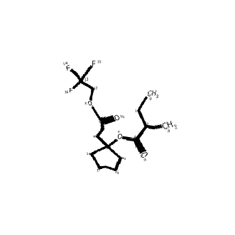 CCC(C)C(=O)OC1(CC(=O)OCC(F)(F)F)CCCC1